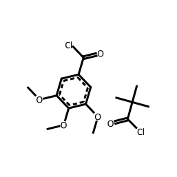 CC(C)(C)C(=O)Cl.COc1cc(C(=O)Cl)cc(OC)c1OC